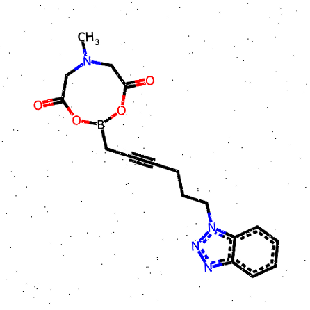 CN1CC(=O)OB(CC#CCCCn2nnc3ccccc32)OC(=O)C1